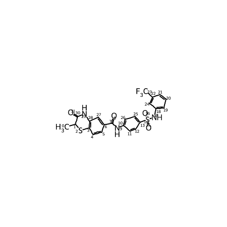 CC1Sc2ccc(C(=O)Nc3ccc(S(=O)(=O)Nc4cccc(C(F)(F)F)c4)cc3)cc2NC1=O